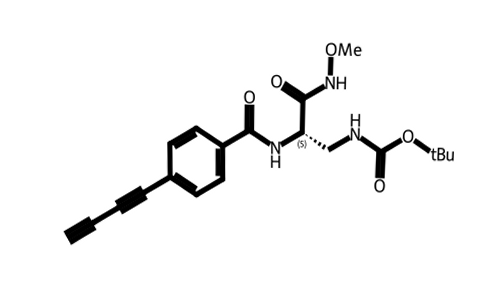 C#CC#Cc1ccc(C(=O)N[C@@H](CNC(=O)OC(C)(C)C)C(=O)NOC)cc1